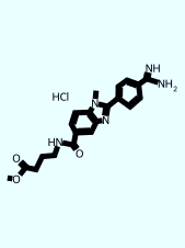 COC(=O)CCCNC(=O)c1ccc2c(c1)nc(-c1ccc(C(=N)N)cc1)n2C.Cl